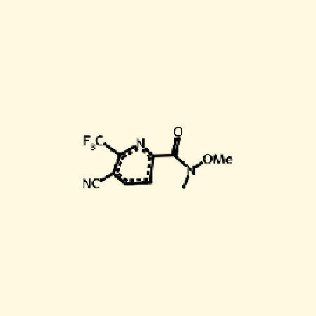 CON(C)C(=O)c1ccc(C#N)c(C(F)(F)F)n1